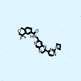 C[C@@]1(F)COCc2ccc(C(=O)NCc3cc4nc(-c5ccnc(N6CCC6)n5)cnc4cn3)cc21